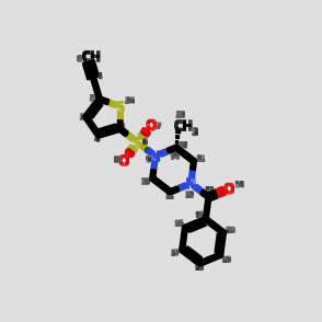 C#Cc1ccc(S(=O)(=O)N2CCN(C(=O)c3ccccc3)C[C@H]2C)s1